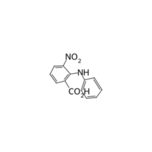 O=C(O)c1cccc([N+](=O)[O-])c1Nc1ccccc1